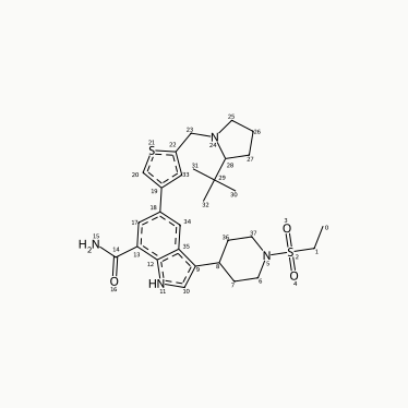 CCS(=O)(=O)N1CCC(c2c[nH]c3c(C(N)=O)cc(-c4csc(CN5CCCC5C(C)(C)C)c4)cc23)CC1